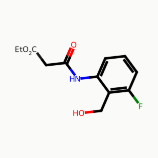 CCOC(=O)CC(=O)Nc1cccc(F)c1CO